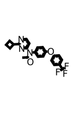 CC(=O)N(c1ccc(Oc2ccc(C(F)(F)F)cc2)cc1)c1ccnc(C2CCC2)n1